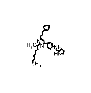 CCCCCCCC(C)c1nc(CCCc2ccccc2)cc(-c2ccc(NCC3CCCN3)cc2)n1